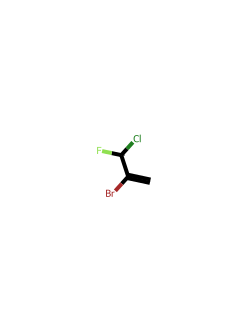 C=C(Br)[C](F)Cl